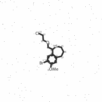 COc1cc2c(cc1Br)C(COCCCl)SCCC2